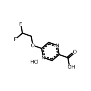 Cl.O=C(O)c1cnc(OCC(F)F)cn1